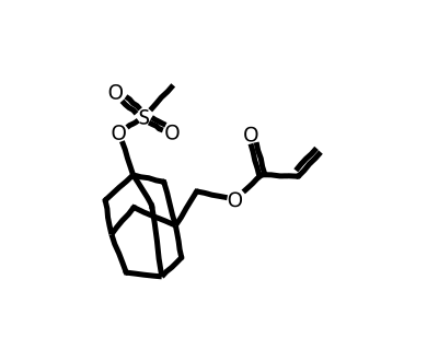 C=CC(=O)OCC12CC3CC(C1)CC(OS(C)(=O)=O)(C3)C2